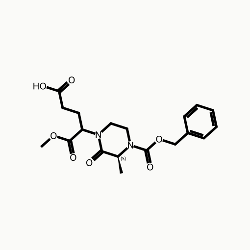 COC(=O)C(CCC(=O)O)N1CCN(C(=O)OCc2ccccc2)[C@@H](C)C1=O